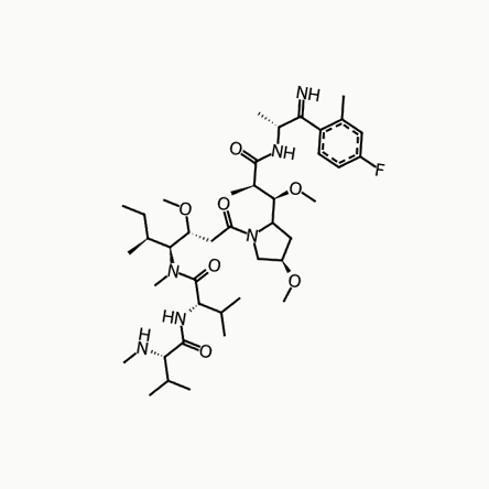 CC[C@H](C)[C@@H]([C@@H](CC(=O)N1C[C@H](OC)CC1[C@H](OC)[C@@H](C)C(=O)N[C@H](C)C(=N)c1ccc(F)cc1C)OC)N(C)C(=O)[C@@H](NC(=O)[C@@H](NC)C(C)C)C(C)C